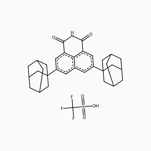 O=C1NC(=O)c2cc(C34CC5CC(CC(C5)C3)C4)cc3cc(C45CC6CC(CC(C6)C4)C5)cc1c23.O=S(=O)(O)C(F)(F)F